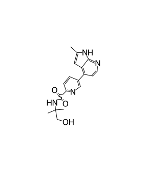 Cc1cc2c(-c3ccc(S(=O)(=O)NC(C)(C)CO)nc3)ccnc2[nH]1